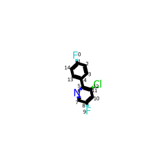 Fc1ccc(-c2ncc(F)cc2Cl)cc1